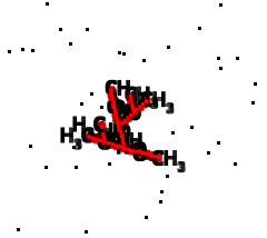 CCCCCCCCCOC(=O)CCCCCCCN(CCCCCCCC(=O)OC(CCCCCCCC)CCCCCCCC)CCNC(=O)CCC(=O)NCCN(CCCCCCCC(=O)OCCCCCCCCC)CCCCCCCC(=O)OC(CCCCCCCC)CCCCCCCC